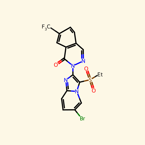 CCS(=O)(=O)c1c(-n2ncc3ccc(C(F)(F)F)cc3c2=O)nc2ccc(Br)cn12